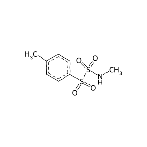 CNS(=O)(=O)S(=O)(=O)c1ccc(C)cc1